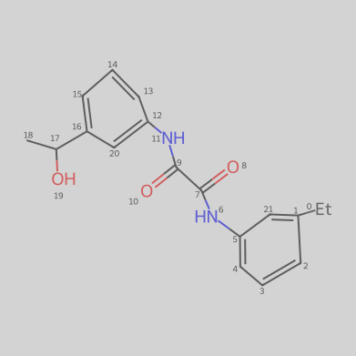 CCc1cccc(NC(=O)C(=O)Nc2cccc(C(C)O)c2)c1